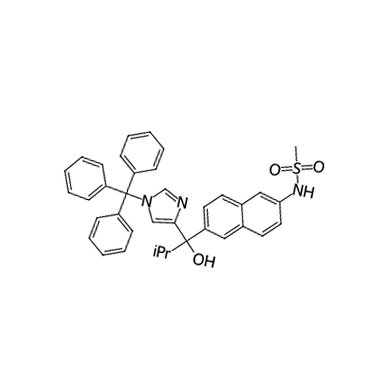 CC(C)C(O)(c1ccc2cc(NS(C)(=O)=O)ccc2c1)c1cn(C(c2ccccc2)(c2ccccc2)c2ccccc2)cn1